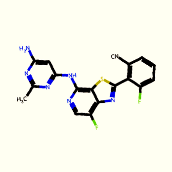 [C-]#[N+]c1cccc(F)c1-c1nc2c(F)cnc(Nc3cc(N)nc(C)n3)c2s1